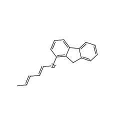 CC=CC=[CH][Zr][c]1cccc2c1Cc1ccccc1-2